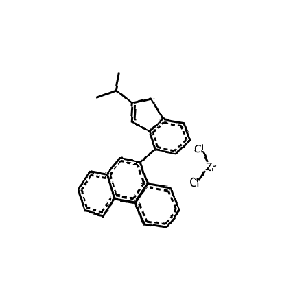 CC(C)C1=Cc2c(cccc2-c2cc3ccccc3c3ccccc23)[CH]1.[Cl][Zr][Cl]